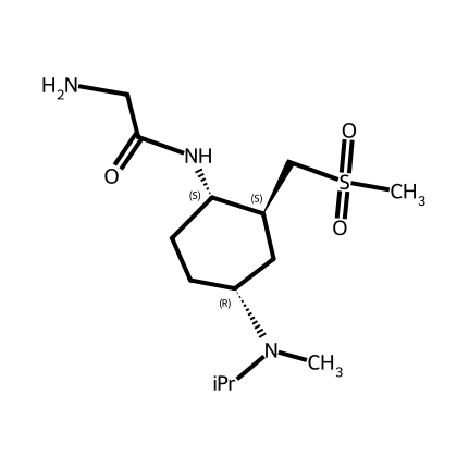 CC(C)N(C)[C@@H]1CC[C@H](NC(=O)CN)[C@@H](CS(C)(=O)=O)C1